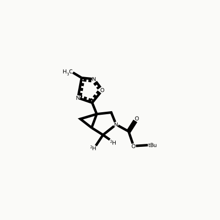 [2H]C1([2H])C2CC2(c2nc(C)no2)CN1C(=O)OC(C)(C)C